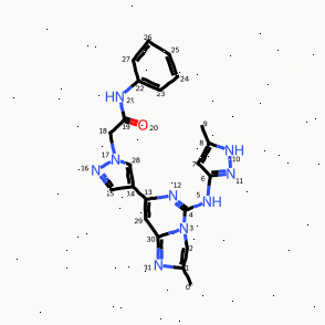 Cc1cn2c(Nc3cc(C)[nH]n3)nc(-c3cnn(CC(=O)Nc4ccccc4)c3)cc2n1